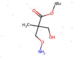 CC(C)(C)OC(=O)C(C)(CO)CON